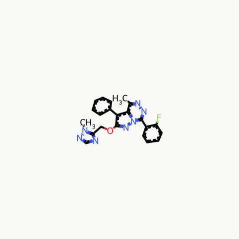 Cc1nnc(-c2ccccc2F)n2nc(OCc3ncnn3C)c(-c3ccccc3)c12